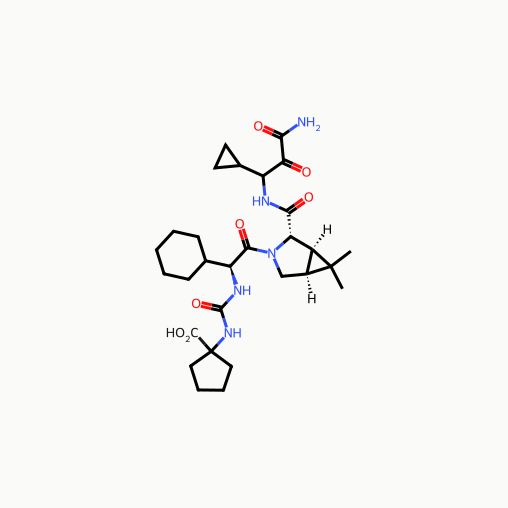 CC1(C)[C@@H]2[C@@H](C(=O)NC(C(=O)C(N)=O)C3CC3)N(C(=O)[C@@H](NC(=O)NC3(C(=O)O)CCCC3)C3CCCCC3)C[C@@H]21